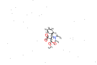 CCOC(=O)c1c(N(CC)CC)c2ccccc2oc1=O